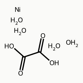 O.O.O.O.O=C(O)C(=O)O.[Ni]